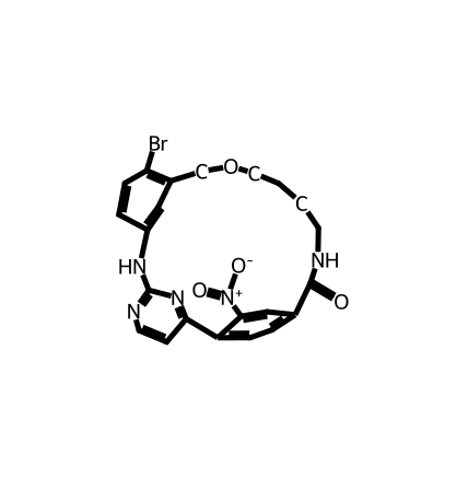 O=C1NCCCCOCc2cc(ccc2Br)Nc2nccc(n2)-c2ccc1cc2[N+](=O)[O-]